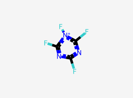 Fc1nc(F)[n+](F)c(F)n1